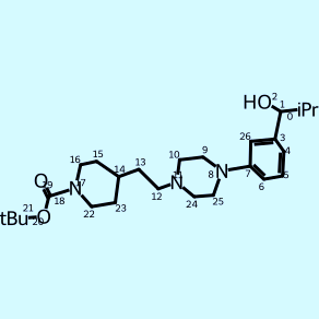 CC(C)C(O)c1cccc(N2CCN(CCC3CCN(C(=O)OC(C)(C)C)CC3)CC2)c1